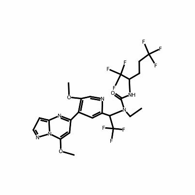 CCN(C(=O)NC(CCC(F)(F)F)C(F)(F)F)C(c1cc(-c2cc(OC)n3nccc3n2)c(OC)cn1)C(F)(F)F